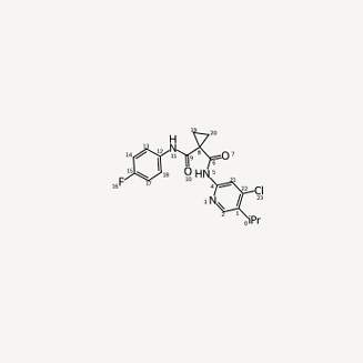 CC(C)c1cnc(NC(=O)C2(C(=O)Nc3ccc(F)cc3)CC2)cc1Cl